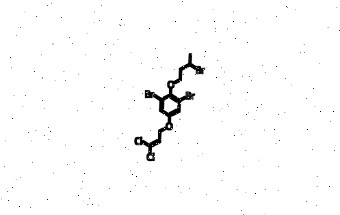 CC(Br)CCOc1c(Br)cc(OCC=C(Cl)Cl)cc1Br